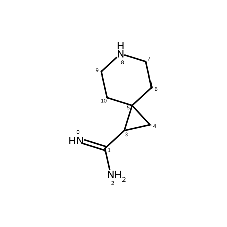 N=C(N)C1CC12CCNCC2